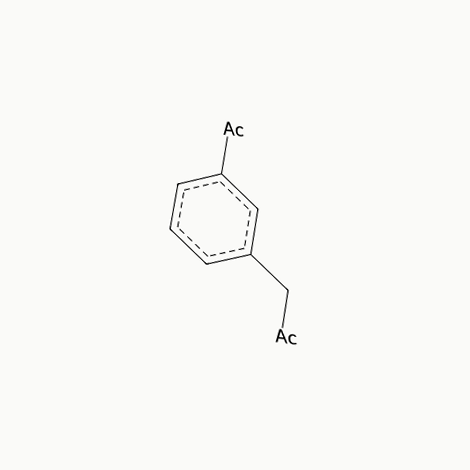 [CH2]C(=O)Cc1cccc(C(C)=O)c1